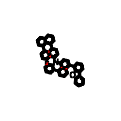 Fc1ccc(-c2cccc3cccc(-c4ccc(N(c5ccc(-c6cccc7c6oc6ccccc67)cc5)c5ccccc5-c5ccccc5)cc4)c23)cc1